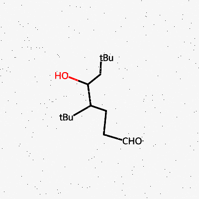 CC(C)(C)CC(O)C(CC[C]=O)C(C)(C)C